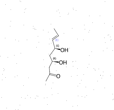 C/C=C/[C@@H](O)C[C@@H](O)CC(C)=O